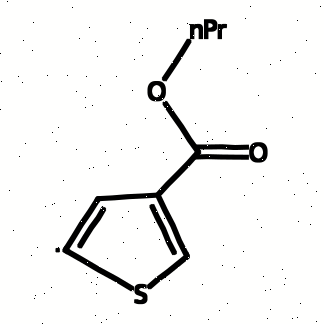 CCCOC(=O)c1c[c]sc1